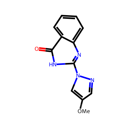 COc1cnn(-c2nc3ccccc3c(=O)[nH]2)c1